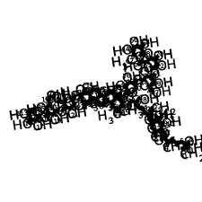 C=CC(C)(O)CCCC(C)C(=O)OC1C(C)OC(OC(C)(C=C)CC/C=C(\CO)C(=O)OC2CC3(C(=O)OC4OCC(OC5OC(CO)C(O)C(OC6OC(CO)C(OC7OC(C)C(O)C(O)C7O)C(O)C6O)C5O)C(O)C4O)CCC4(C)C(=CCC5C6(C)CCC(OC7OC(CO)C(OC8OC(CO)C(O)C(OC9OCC(O)C(O)C9O)C8O)C(O)C7O)C(C)(C)C6CCC54C)C3CC2(C)C)C(O)C1O